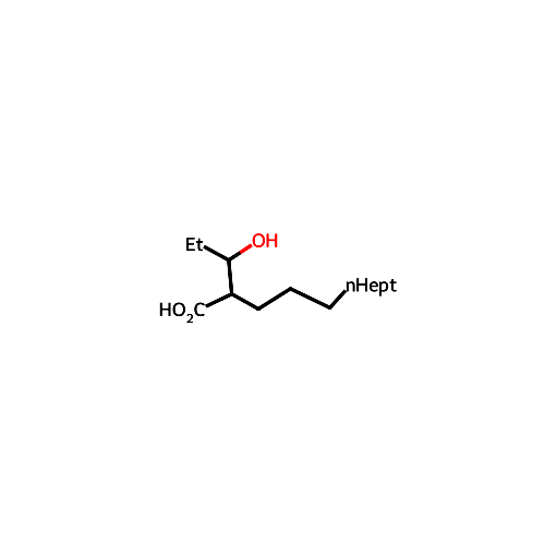 CCCCCCCCCCC(C(=O)O)C(O)CC